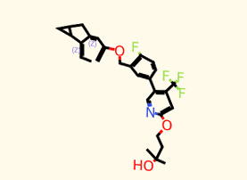 C=C(/C=C1/CC2CC2/C1=C/C)OCc1cc(-c2cnc(OCCC(C)(C)O)cc2C(F)(F)F)ccc1F